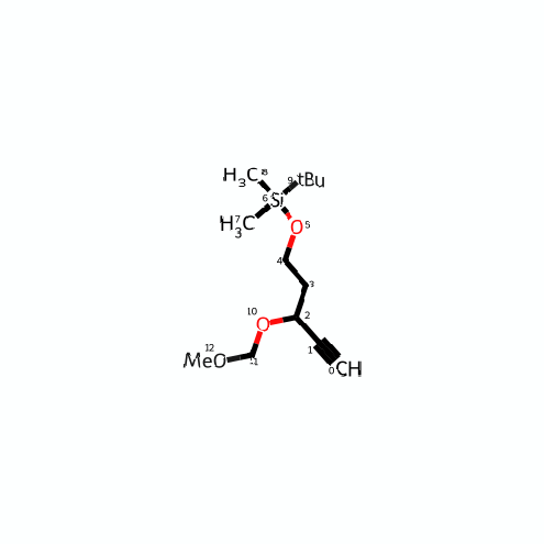 C#CC(CCO[Si](C)(C)C(C)(C)C)OCOC